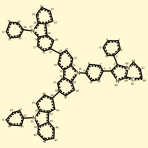 c1ccc(-c2c(-c3ccc(-n4c5ccc(-c6ccc7c(c6)c6ccccc6n7-c6ccccc6)cc5c5cc(-c6ccc7c(c6)c6ccccc6n7-c6ccccc6)ccc54)cc3)nc3ccccn23)cc1